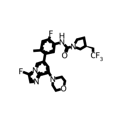 Cc1cc(F)c(NC(=O)N2CC[C@@H](CC(F)(F)F)C2)cc1-c1cc(N2CCOCC2)c2ncc(F)n2c1